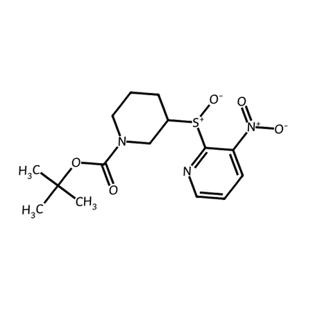 CC(C)(C)OC(=O)N1CCCC([S+]([O-])c2ncccc2[N+](=O)[O-])C1